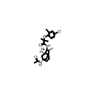 CC(=O)N[C@]12CC=C3[C@@H](C1)[C@@H](NC(=O)C(C)(C)Oc1ccc(Cl)cc1C)[C@H]3C2